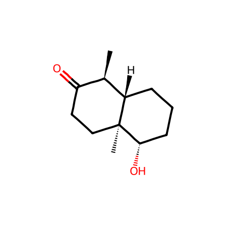 C[C@@H]1C(=O)CC[C@]2(C)[C@@H](O)CCC[C@@H]12